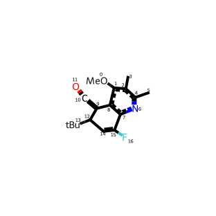 COc1c(C)c(C)nc2c1C(=C=O)C(C(C)(C)C)C=C2F